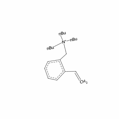 C=Cc1ccccc1C[N+](CCCC)(CCCC)CCCC